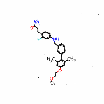 CCOCCOc1cc(C)c(-c2cccc(CNc3ccc(CCC(N)=O)c(F)c3)c2)c(C)c1